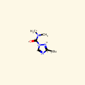 CN(C)C(=O)n1cnc(C(C)(C)C)n1